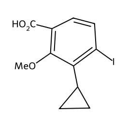 COc1c(C(=O)O)ccc(I)c1C1CC1